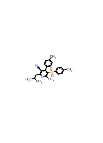 Cc1ccc(-c2c(C#N)c(CC(C)C)nc(C)c2S(=O)(=O)c2ccc(C)cc2)cc1